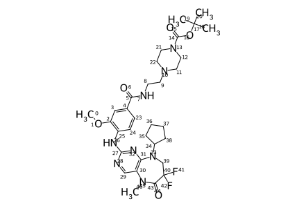 COc1cc(C(=O)NCCN2CCN(C(=O)OC(C)(C)C)CC2)ccc1Nc1ncc2c(n1)N(C1CCCC1)CC(F)(F)C(=O)N2C